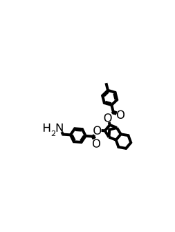 Cc1ccc(C(=O)OC2C3CC(C4CCCCC43)C2OC(=O)c2ccc(CN)cc2)cc1